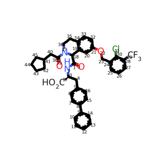 O=C(N[C@@H](Cc1ccc(-c2ccccc2)cc1)C(=O)O)C1c2cc(OCc3cccc(C(F)(F)F)c3Cl)ccc2CCN1C(=O)CC1CCCC1